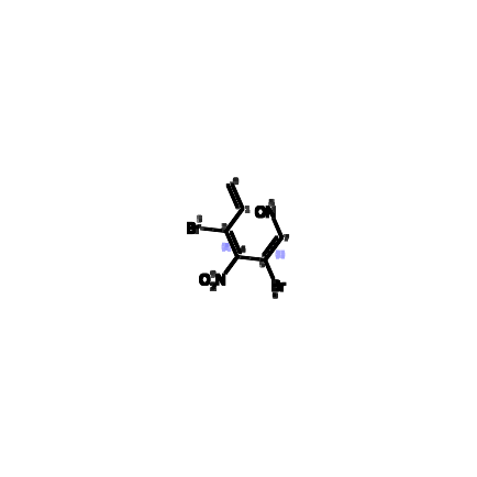 C=C/C(Br)=C(\C(Br)=C/N=O)[N+](=O)[O-]